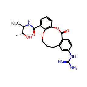 C[C@@H](O)[C@H](NC(=O)c1cccc2c1OCCCc1cc(NC(=N)N)ccc1C(=O)O2)C(=O)O